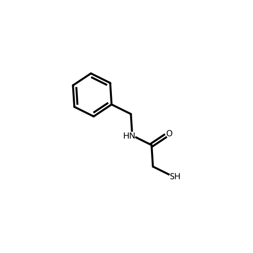 O=C(CS)NCc1ccccc1